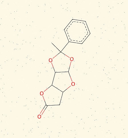 CC1(c2ccccc2)OC2OC3CC(=O)OC3C2O1